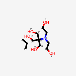 CCC.OCCN(CCO)C(CO)(CO)CO